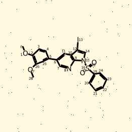 COc1ccc(-c2cnc3c(c2)c(I)cn3S(=O)(=O)c2ccccc2)cc1OC